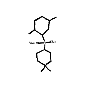 CO[Si](OC)(C1CCC(C)(C)CC1)C1CC(C)CCC1C